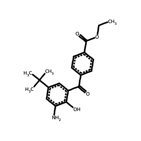 CCOC(=O)c1ccc(C(=O)c2cc(C(C)(C)C)cc(N)c2O)cc1